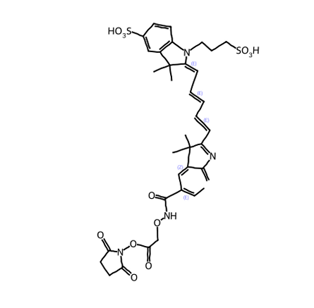 C=C1N=C(/C=C/C=C/C=C2/N(CCCS(=O)(=O)O)c3ccc(S(=O)(=O)O)cc3C2(C)C)C(C)(C)/C1=C/C(=C\C)C(=O)NOCC(=O)ON1C(=O)CCC1=O